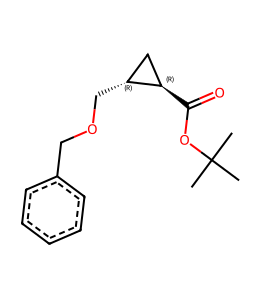 CC(C)(C)OC(=O)[C@@H]1C[C@H]1COCc1ccccc1